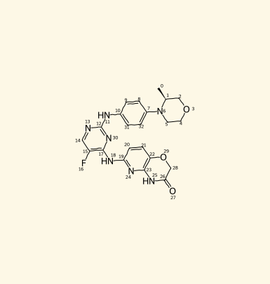 C[C@H]1COCCN1c1ccc(Nc2ncc(F)c(Nc3ccc4c(n3)NC(=O)CO4)n2)cc1